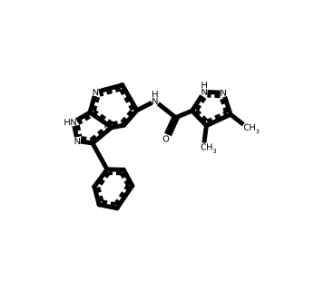 Cc1n[nH]c(C(=O)Nc2cnc3[nH]nc(-c4[c]cccc4)c3c2)c1C